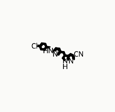 N#Cc1cnc2c(c1)C(Cc1ccc(NCC3CC=C(Cl)CC3)nc1)CN2